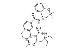 CCC1(CC)CC(=O)N([C@H]2c3cc(C(=O)N[C@H]4CC(C)(C)Oc5ccccc54)ccc3CC[C@@H]2OC)C(=N)N1